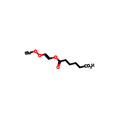 CC(C)(C)OOC=COC(=O)CCCCC(=O)O